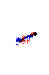 CNc1ncnc2c1ccn2[C@@H]1C[C@H](C(=O)NCCCNCc2cccc(Oc3ccccc3)c2)[C@@H](O)[C@H]1O